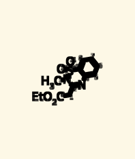 CCOC(=O)CC1=Nc2ccccc2S(=O)(=O)N1C